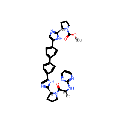 CC[C@H](Nc1ncccn1)C(=O)N1CCC[C@H]1c1ncc(-c2ccc(-c3ccc(-c4cnc([C@H]5CCCN5C(=O)OC(C)(C)C)[nH]4)cc3)cc2)[nH]1